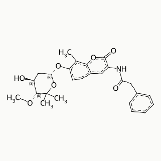 CO[C@@H]1[C@@H](O)C[C@H](Oc2ccc3cc(NC(=O)Cc4ccccc4)c(=O)oc3c2C)OC1(C)C